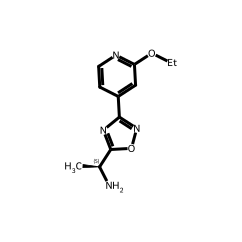 CCOc1cc(-c2noc([C@H](C)N)n2)ccn1